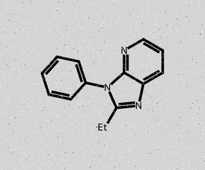 C[CH]c1nc2cccnc2n1-c1ccccc1